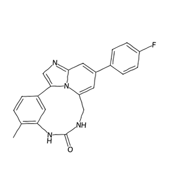 Cc1ccc2cc1NC(=O)NCc1cc(-c3ccc(F)cc3)cc3ncc-2n13